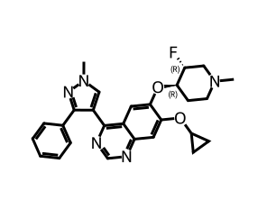 CN1CC[C@@H](Oc2cc3c(-c4cn(C)nc4-c4ccccc4)ncnc3cc2OC2CC2)[C@H](F)C1